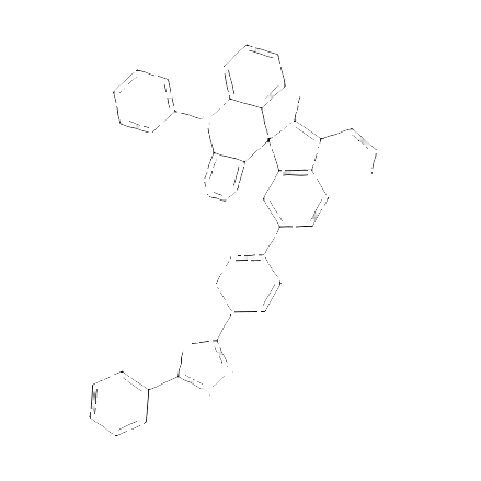 C/C=C\C1=C(C)C2(c3cc(C4=CCC(c5nnc(-c6ccccc6)o5)C=C4)ccc31)c1ccccc1N(c1ccccc1)c1ccccc12